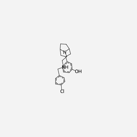 Oc1cccc(C2CC3CCC(C2)N3CCNCc2ccc(Cl)cc2)c1